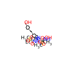 CCC(C)(C(N)=O)S(C)(=O)=O.C[C@@](CCn1cc2cc(C#Cc3ccc(CO)cc3)ccc2n1)(C(=O)NO)S(C)(=O)=O